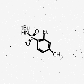 CCc1cc(C)ccc1S(=O)(=O)NC(C)(C)C